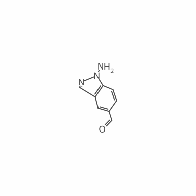 Nn1ncc2cc(C=O)ccc21